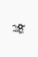 CCOc1ccc(F)c(F)c1B(O)O